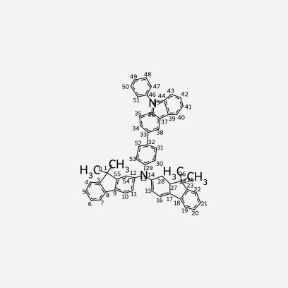 CC1(C)c2ccccc2-c2ccc(N(C3=CC=C4c5ccccc5C(C)(C)C4C3)c3ccc(-c4ccc5c(c4)c4ccccc4n5-c4ccccc4)cc3)cc21